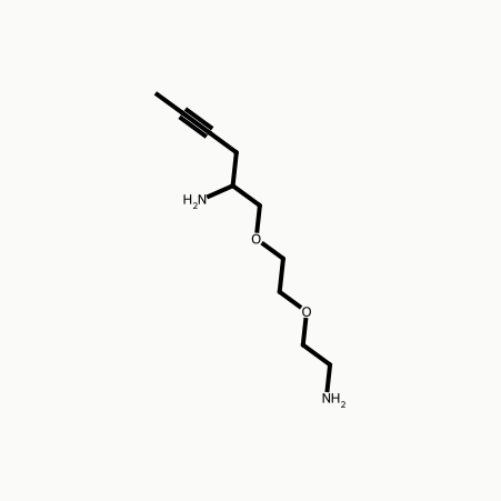 CC#CCC(N)COCCOCCN